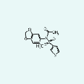 CC(=O)N(c1cc2c(cc1C)OCO2)S(=O)(=O)c1ccsc1